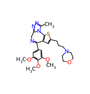 COc1cc(C2=NCc3nnc(C)n3-c3sc(CCCN4CCOCC4)cc32)cc(OC)c1OC